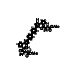 COC(=O)N[C@H](C(=O)N(C)[C@@H]1CCC[C@H]1c1nc(-c2ccc(-c3ccc(-c4c[nH]c([C@@H]5CCCN5C(=O)[C@@H](NC(=O)OC)C(C)C)n4)cc3)cc2)c[nH]1)C(C)C